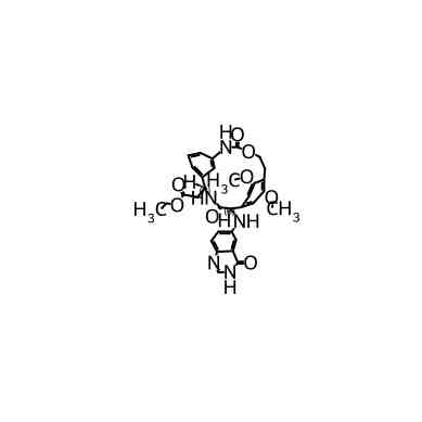 CCOC(=O)C[C@H]1NC(=O)[C@H](Nc2ccc3nc[nH]c(=O)c3c2)c2cc(OC)c(c(OC)c2)CCOC(=O)Nc2cccc1c2